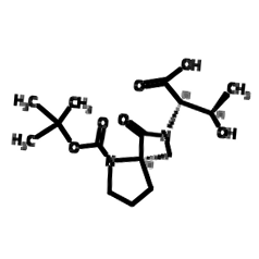 C[C@@H](O)[C@@H](C(=O)O)N1C[C@@]2(CCCN2C(=O)OC(C)(C)C)C1=O